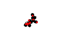 c1ccc(-c2nc(-c3ccc(-c4ccccc4)c4ccccc34)nc(-c3ccc(-c4nc5oc6ccccc6c5c5ccccc45)c4ccccc34)n2)cc1